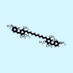 Cc1c(C)c(Cc2ccc(N)cc2)c(C)c(C)c1CCCCCCCCCCCc1c(C)c(C)c(Cc2ccc(N)cc2)c(C)c1C